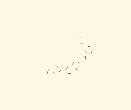 Cc1cc2ncc(-c3ccc4nnc(NC(=O)c5ccnc(N6CCN(C)CC6)c5)cc4c3)cc2[nH]1